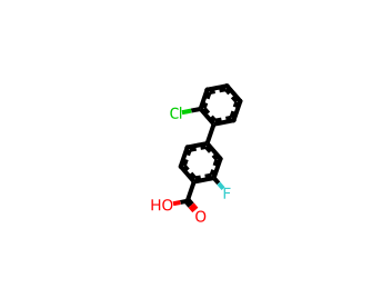 O=C(O)c1ccc(-c2ccccc2Cl)cc1F